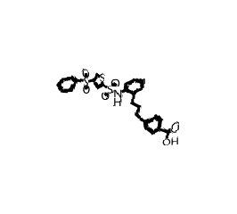 O=C(O)c1ccc(CCCc2ccccc2NS(=O)(=O)c2cc(S(=O)(=O)c3ccccc3)cs2)cc1